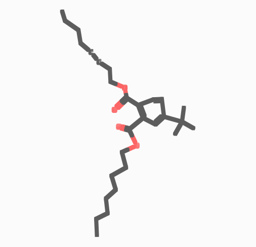 CCCCCCCCOC(=O)c1ccc(C(C)(C)C)cc1C(=O)OCCCCCCCC